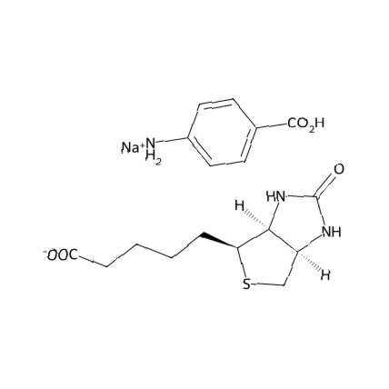 Nc1ccc(C(=O)O)cc1.O=C([O-])CCCC[C@@H]1SC[C@@H]2NC(=O)N[C@@H]21.[Na+]